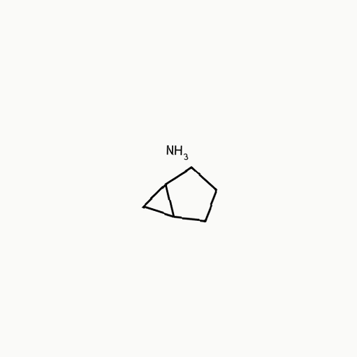 C1CC2CC2C1.N